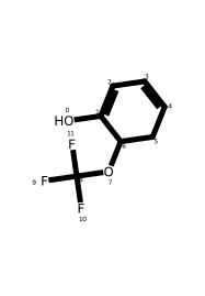 OC1=CC=CCC1OC(F)(F)F